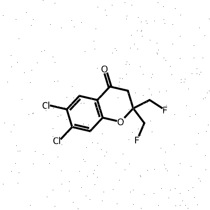 O=C1CC(CF)(CF)Oc2cc(Cl)c(Cl)cc21